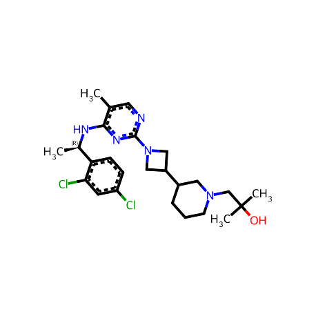 Cc1cnc(N2CC(C3CCCN(CC(C)(C)O)C3)C2)nc1N[C@H](C)c1ccc(Cl)cc1Cl